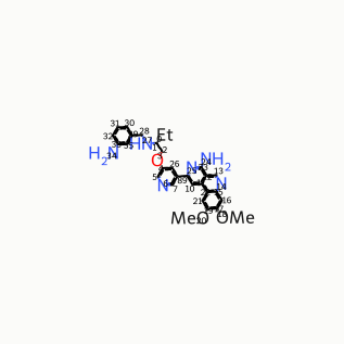 CC[C@H](COc1cncc(-c2cc3c(cnc4cc(OC)c(OC)cc43)c(N)n2)c1)NCc1cccc(N)c1